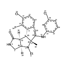 CCN1[C@H]2CNC(=O)[C@H]2[C@H](c2cccc(Cl)c2F)[C@]1(C)C(=O)Nc1cccc(Cl)c1